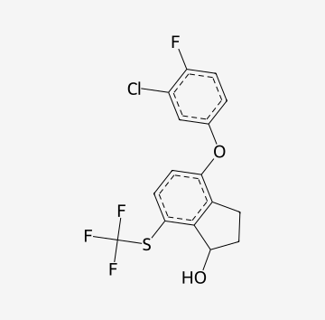 OC1CCc2c(Oc3ccc(F)c(Cl)c3)ccc(SC(F)(F)F)c21